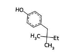 CCC(C)(C)Cc1ccc(O)cc1